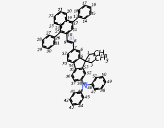 CCC1(CC)c2cc(/C=C/c3cc(-c4ccccc4)c4ccccc4c3-c3ccccc3)ccc2-c2ccc(N(c3ccccc3)c3ccccc3)cc21